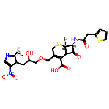 CC1=NC=C([N+](=O)[O-])C1CC(O)COCC1=C(C(=O)O)C2C(=O)[C@@H](NC(=O)Cc3cccs3)[C@H]2SC1